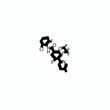 Cc1ccc(-c2cc(O[C@@H](C)C(F)(F)F)c(C(=O)Nc3c(F)cccc3Cl)cc2F)nc1